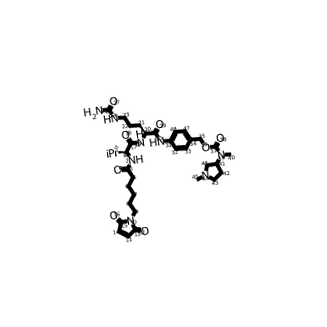 CC(C)[C@H](NC(=O)CCCCCN1C(=O)C=CC1=O)C(=O)N[C@@H](CCCNC(N)=O)C(=O)Nc1ccc(COC(=O)N(C)C2CCN(C)C2)cc1